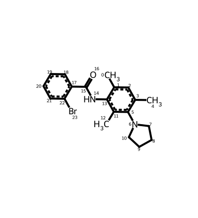 Cc1cc(C)c(N2CCCC2)c(C)c1NC(=O)c1ccccc1Br